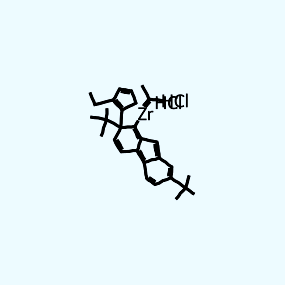 CCC1=C(C2(C(C)(C)C)C=CC3=c4ccc(C(C)(C)C)cc4=CC3=[C]2[Zr]=[C](C)C)CC=C1.Cl.Cl